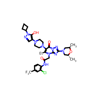 CCc1c(N2CCN(c3cnn(C4CCC4)c3O)CC2)c(=O)n2nc(N3C[C@@H](C)O[C@@H](C)C3)nc2n1CC(=O)Nc1ccc(C(F)(F)F)cc1Cl